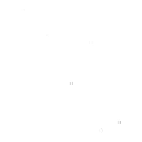 C=CCOC(=O)CCC=C(C)CCC=C(C)CCC=C(C)CCC=C(C)C